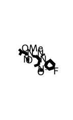 COC(C)(C)c1noc(-c2ncn3c2c(C)[n+]([O-])c2cc(F)ccc23)n1